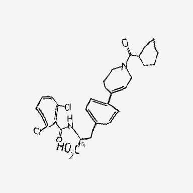 O=C(N[C@@H](Cc1ccc(C2=CCN(C(=O)C3CCCCC3)CC2)cc1)C(=O)O)c1c(Cl)cccc1Cl